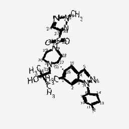 Cc1cc2c(cnn2-c2ccc(F)cc2)cc1[C@H]1CN(S(=O)(=O)c2cnn(C)n2)CCN1CC(C)(C)O